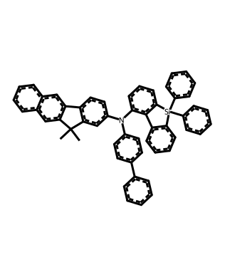 CC1(C)c2cc(N(c3ccc(-c4ccccc4)cc3)c3cccc4c3-c3ccccc3[Si]4(c3ccccc3)c3ccccc3)ccc2-c2cc3ccccc3cc21